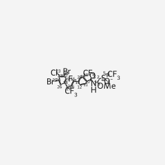 COC(C[S+]([O-])CC(F)(F)F)NC(=O)c1ccc(/C(F)=C/C(c2cc(Br)c(Cl)c(Br)c2)C(F)(F)F)cc1C(F)(F)F